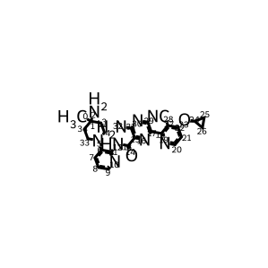 CC1(N)CCN(c2cccnc2NC(=O)c2nc(-c3nccc(OC4CC4)c3C#N)cnc2N)CC1